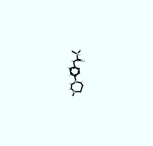 CN1CCCN(c2ccc(CC(=O)N(C)C)cc2)CC1